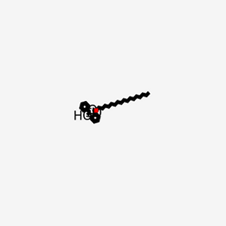 CCCCCCCCCCCCCCCCCC(=O)O[Si](O)(c1ccccc1)c1ccccc1